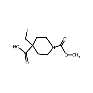 COC(=O)N1CCC(CI)(C(=O)O)CC1